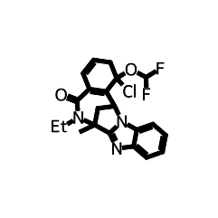 CCN1C(=O)C2=C(C3CC1(C)c1nc4ccccc4n13)C(Cl)(OC(F)F)CC=C2